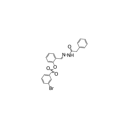 O=C(Cc1ccccc1)N/N=C/c1ccccc1OS(=O)(=O)c1cccc(Br)c1